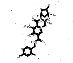 COc1c2n(cc(C(=O)NCc3ccc(F)cc3F)c1=O)C[C@@H]1O[C@H]3C[C@H](CC3C)N1C2=O